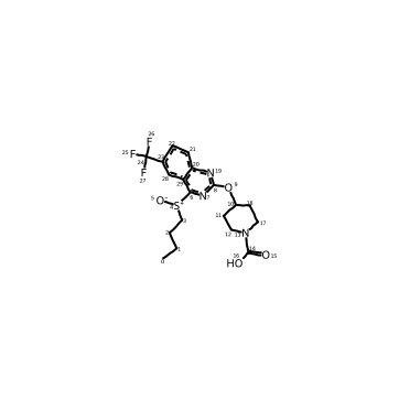 CCCC[S+]([O-])c1nc(OC2CCN(C(=O)O)CC2)nc2ccc(C(F)(F)F)cc12